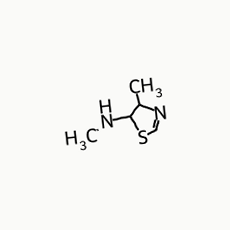 CNC1SC=NC1C